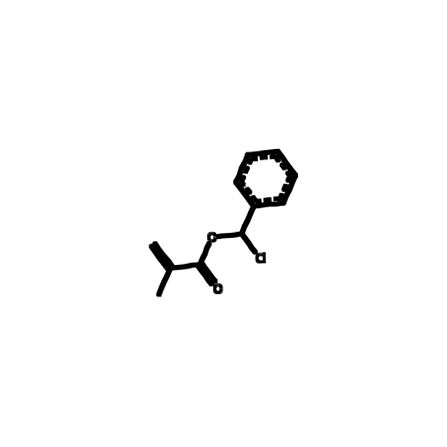 C=C(C)C(=O)OC(Cl)c1ccccc1